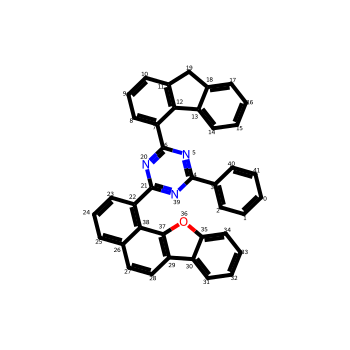 c1ccc(-c2nc(-c3cccc4c3-c3ccccc3C4)nc(-c3cccc4ccc5c6ccccc6oc5c34)n2)cc1